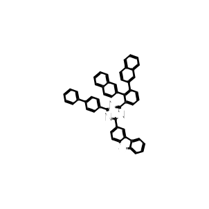 c1ccc(-c2ccc(-c3nc(-c4ccc5oc6ccccc6c5c4)nc(-c4cccc(-c5ccc6ccccc6c5)c4-c4ccc5ccccc5c4)n3)cc2)cc1